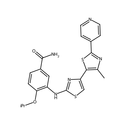 Cc1nc(-c2ccncc2)sc1-c1csc(Nc2cc(C(N)=O)ccc2OC(C)C)n1